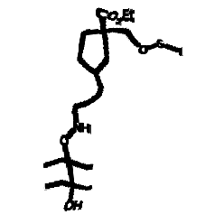 CCOC(=O)C1(COSI)CCC(CCNOC(C)(C)C(C)(C)O)C1